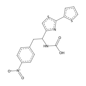 O=C(O)NC(Cc1ccc([N+](=O)[O-])cc1)c1csc(-c2cccs2)n1